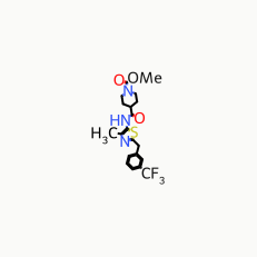 COC(=O)N1CCC(C(=O)Nc2sc(Cc3cccc(C(F)(F)F)c3)nc2C)CC1